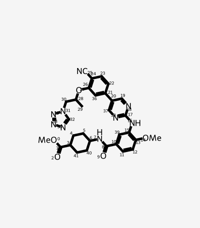 COC(=O)C1CCC(NC(=O)c2ccc(OC)c(Nc3ncc(-c4ccc(C#N)c(OC(C)Cn5cnnn5)c4)cn3)c2)CC1